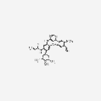 C=CC(=O)Nc1cc(Nc2cc(-c3ccc(C=N)c(NC)c3)ncn2)c(OC)cc1N1CC(C)N(C)C(C)C1